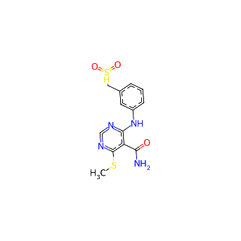 CSc1ncnc(Nc2cccc(C[SH](=O)=O)c2)c1C(N)=O